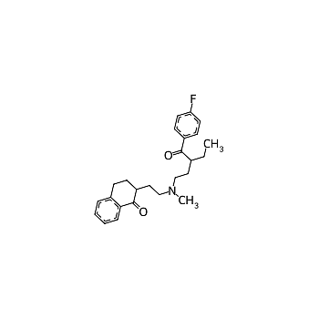 CCC(CCN(C)CCC1CCc2ccccc2C1=O)C(=O)c1ccc(F)cc1